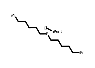 CC(C)CCCCC[P]CCCCCC(C)C.CCCCCCl